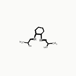 CC(O)CNC1CCCCC1NCC(C)O